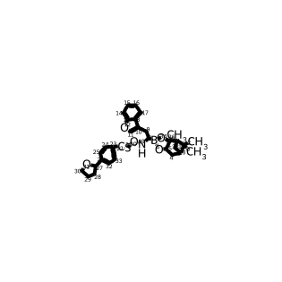 CC1(C)C2CC3OB(C(Cc4coc5ccccc45)NOSCc4ccc(C5CCCO5)cc4)OC3(C)C1C2